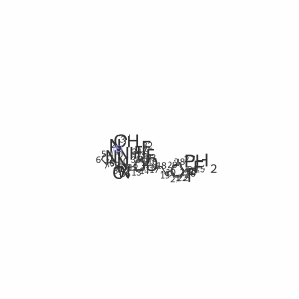 N/C(=N\O)N1CCC[C@H]1c1nc(-c2ccc(OCCCc3ccc(C(F)(F)P)cc3)c(C(F)(F)F)c2)no1